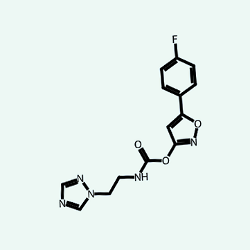 O=C(NCCn1cncn1)Oc1cc(-c2ccc(F)cc2)on1